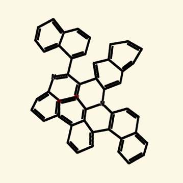 c1ccc2cc(N3c4ccc5ccccc5c4-c4cccc5cccc3c45)c(-c3nc4ccccc4nc3-c3cccc4ccccc34)cc2c1